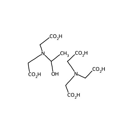 CC(O)N(CC(=O)O)CC(=O)O.O=C(O)CN(CC(=O)O)CC(=O)O